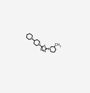 CC1CCCN(c2nnc(N3CCC(N4CCCCC4)CC3)s2)C1